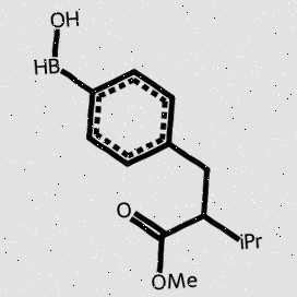 COC(=O)C(Cc1ccc(BO)cc1)C(C)C